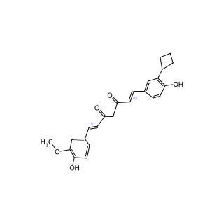 COc1cc(/C=C/C(=O)CC(=O)/C=C/c2ccc(O)c(C3CCC3)c2)ccc1O